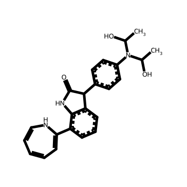 CC(O)N(c1ccc(C2C(=O)Nc3c(C4=CC=CC=CN4)cccc32)cc1)C(C)O